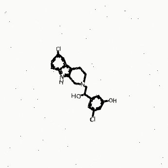 Oc1cc(Cl)cc(C(O)CN2CCc3c([nH]c4ccc(Cl)cc34)C2)c1